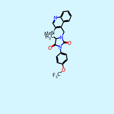 CNc1cnc2ccccc2c1CN1C(=O)N(c2ccc(OC(F)(F)F)cc2)C(=O)C1C